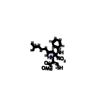 COC(=O)[C@H](CS)NC(/C=C(\C)CCC=C(C)C)(Nc1ccccc1)[N+](=O)[O-]